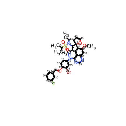 CCC(N(CC)S(=O)(=O)C(C)C)C1(c2cc3c(Nc4ccc(OCc5cccc(F)c5)c(Br)c4)ncnc3cc2OC)CC=CO1